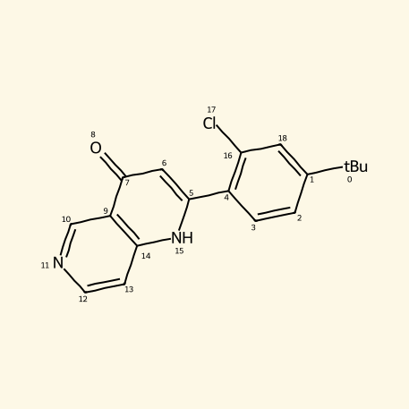 CC(C)(C)c1ccc(-c2cc(=O)c3cnccc3[nH]2)c(Cl)c1